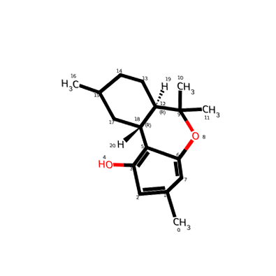 Cc1cc(O)c2c(c1)OC(C)(C)[C@@H]1CCC(C)C[C@@H]21